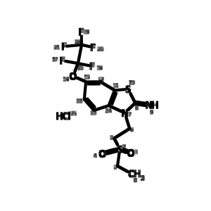 CCS(=O)(=O)CCn1c(=N)sc2cc(OC(F)(F)C(F)(F)F)ccc21.Cl